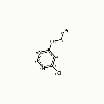 CC(C)COc1cc(Cl)ncn1